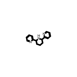 c1ccc(C2CCCC(c3ccccn3)N2)nc1